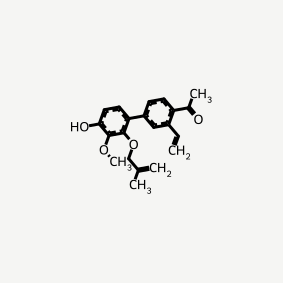 C=Cc1cc(-c2ccc(O)c(OC)c2OCC(=C)C)ccc1C(C)=O